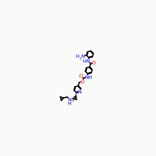 Nc1ccccc1NC(=O)c1ccc(NC(=O)OCc2ccc([C@H]3C[C@@H]3NCC3CC3)nc2)cc1